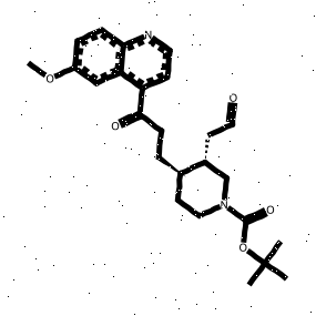 COc1ccc2nccc(C(=O)CC[C@@H]3CCN(C(=O)OC(C)(C)C)C[C@H]3CC=O)c2c1